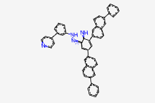 N=C1C(c2ccc3cc(-c4ccccc4)ccc3c2)=CC(c2ccc3cc(-c4ccccc4)ccc3c2)=C/C1=N/Nc1cccc(-c2ccncc2)c1